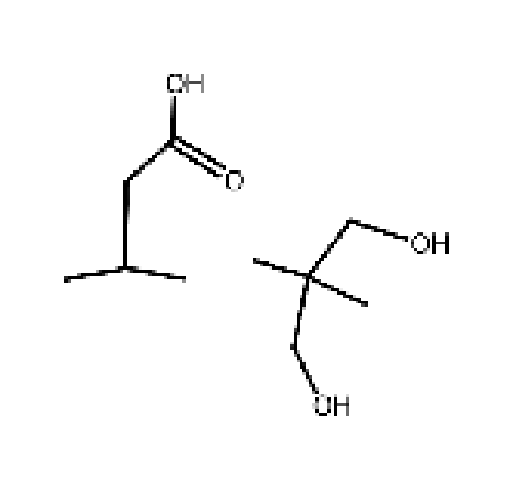 CC(C)(CO)CO.CC(C)CC(=O)O